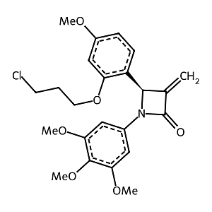 C=C1C(=O)N(c2cc(OC)c(OC)c(OC)c2)[C@H]1c1ccc(OC)cc1OCCCCl